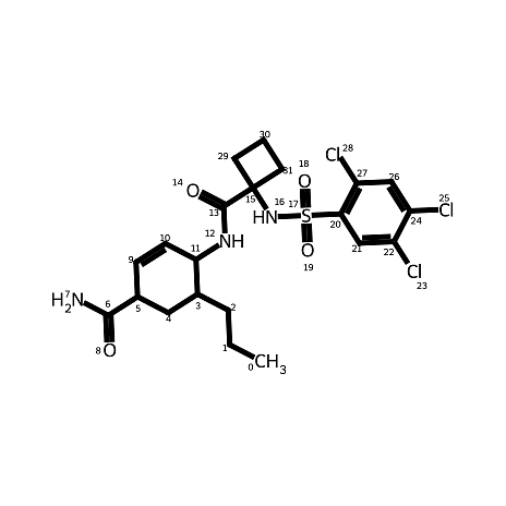 CCCC1CC(C(N)=O)C=CC1NC(=O)C1(NS(=O)(=O)c2cc(Cl)c(Cl)cc2Cl)CCC1